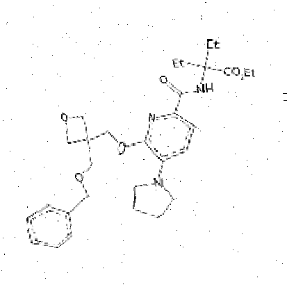 CCOC(=O)C(CC)(CC)NC(=O)c1ccc(N2CCCC2)c(OCC2(COCc3ccccc3)COC2)n1